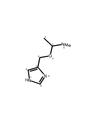 CNC(C)OCc1c[nH]cn1